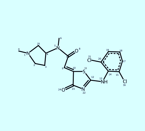 CN1CCC(N(C)C(=O)/C=C2\SC(Nc3c(Cl)cccc3Cl)=NC2=O)C1